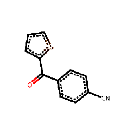 N#Cc1ccc(C(=O)c2cccs2)cc1